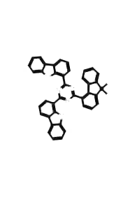 CC1(C)c2ccccc2-c2c(-c3nc(-c4cccc5c4oc4ccccc45)nc(-c4cccc5c4oc4ccccc45)n3)cccc21